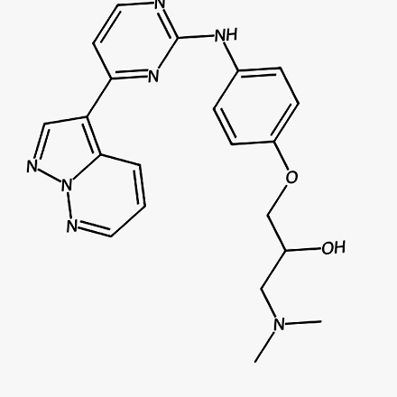 CN(C)CC(O)COc1ccc(Nc2nccc(-c3cnn4ncccc34)n2)cc1